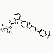 CC(C)(C)OC(=O)Nc1ccccc1-c1ccc2[nH]c(/C=C/c3ccc(C(F)(F)F)cc3)nc2c1